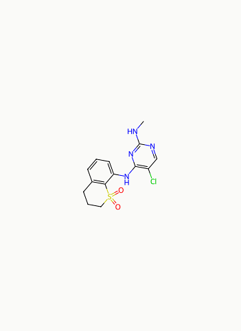 CNc1ncc(Cl)c(Nc2cccc3c2S(=O)(=O)CCC3)n1